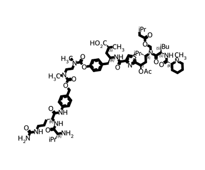 CC[C@H](C)[C@H](NC(=O)[C@H]1CCCCN1C)C(=O)N(COC(=O)CC(C)C)[C@H](C[C@@H](OC(C)=O)c1nc(C(=O)N[C@@H](Cc2ccc(OC(=O)N(C)CCN(C)C(=O)OCc3ccc(NC(=O)[C@@H](CCCNC(N)=O)NC(=O)[C@H](N)C(C)C)cc3)cc2)C[C@H](C)C(=O)O)cs1)C(C)C